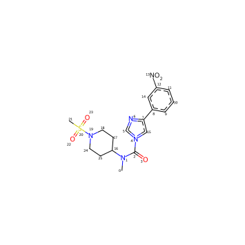 CN(C(=O)n1cnc(-c2cccc([N+](=O)[O-])c2)c1)C1CCN(S(C)(=O)=O)CC1